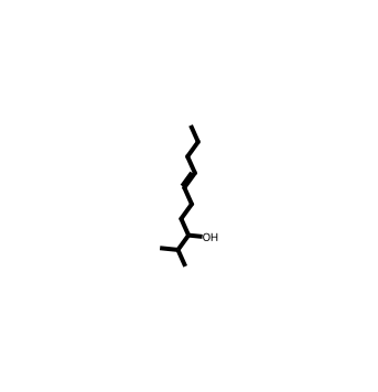 CCCC=CCCC(O)C(C)C